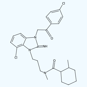 CC1CCCCC1C(=O)N(C)CCCn1c(=N)n(CC(=O)c2ccc(Cl)cc2)c2cccc(Cl)c21